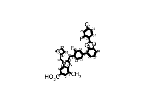 Cc1cc(C(=O)O)cc2c1nc(Cc1ccc(-c3cccc4c3OC(c3ccc(Cl)cc3F)O4)cc1F)n2C[C@@H]1CCO1